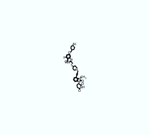 CC(=O)N1CCC(COc2cc(F)c3c(=O)[nH]c(CSC4CCN(CC#Cc5cccc6c5n(C)c(=O)n6C5CCC(=O)NC5=O)CC4)nc3c2)CC1